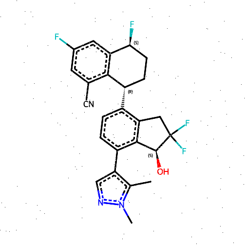 Cc1c(-c2ccc([C@H]3CC[C@H](F)c4cc(F)cc(C#N)c43)c3c2[C@H](O)C(F)(F)C3)cnn1C